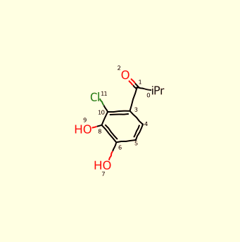 CC(C)C(=O)c1ccc(O)c(O)c1Cl